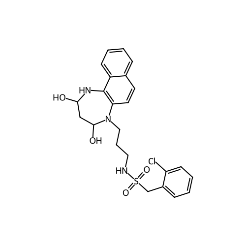 O=S(=O)(Cc1ccccc1Cl)NCCCN1c2ccc3ccccc3c2NC(O)CC1O